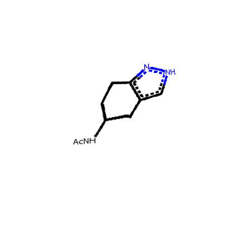 CC(=O)NC1CCc2n[nH]cc2C1